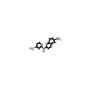 Cc1ccnc(Nc2ccc3cc(N)ccc3n2)c1